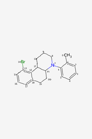 Cc1ccccc1N1CCCC2c3c(Br)cccc3CCC21